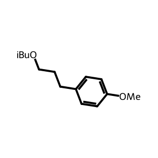 COc1ccc(CCCOCC(C)C)cc1